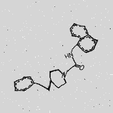 O=C(Nc1cccc2ccccc12)N1CCC(Cc2ccccc2)CC1